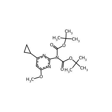 COc1cc(C2CC2)nc(N(C(=O)OC(C)(C)C)C(=O)OC(C)(C)C)n1